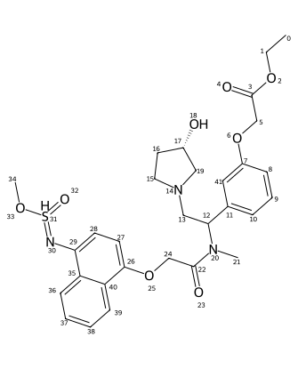 CCOC(=O)COc1cccc(C(CN2CC[C@H](O)C2)N(C)C(=O)COc2ccc(N=[SH](=O)OC)c3ccccc23)c1